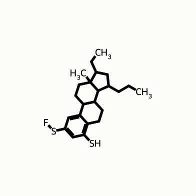 CCCC1CC(CC)C2(C)CCC3c4cc(SF)cc(S)c4CCC3C12